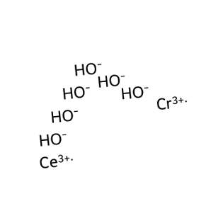 [Ce+3].[Cr+3].[OH-].[OH-].[OH-].[OH-].[OH-].[OH-]